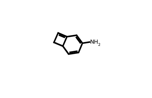 NC1=CC2=CCC2C=C1